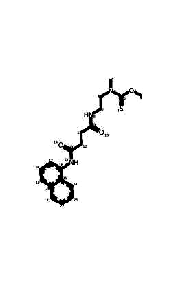 COC(=S)N(C)CCNC(=O)CCC(=O)Nc1cccc2ccccc12